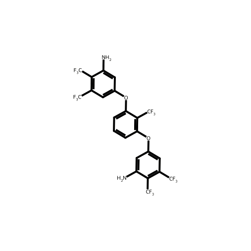 Nc1cc(Oc2cccc(Oc3cc(N)c(C(F)(F)F)c(C(F)(F)F)c3)c2C(F)(F)F)cc(C(F)(F)F)c1C(F)(F)F